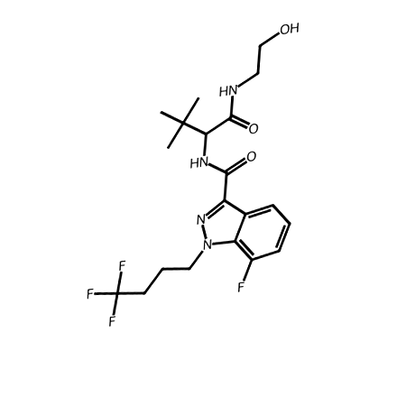 CC(C)(C)C(NC(=O)c1nn(CCCC(F)(F)F)c2c(F)cccc12)C(=O)NCCO